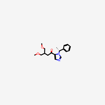 COCC(COC)CC(=O)c1cncn1[C@H](C)c1ccccc1